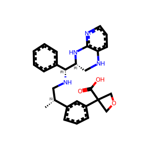 C[C@H](CN[C@H](c1ccccc1)[C@H]1CNc2cccnc2N1)c1cccc(C2(C(=O)O)COC2)c1